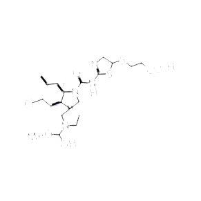 C=C/C=C1\C(=C/CCl)[C@@]2(CCN(C(O)OC)C2)CN1C(=O)NC1=NCC(SCCC(=O)O)S1